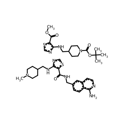 CN1CCC(CNc2ncsc2C(=O)NCc2ccc3c(N)nccc3c2)CC1.COC(=O)c1scnc1NCC1CCN(C(=O)OC(C)(C)C)CC1